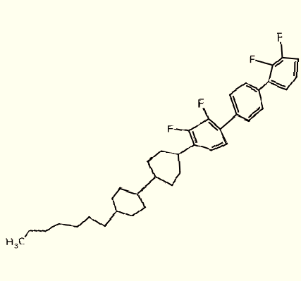 CCCCCCCC1CCC(C2CCC(c3ccc(-c4ccc(-c5cccc(F)c5F)cc4)c(F)c3F)CC2)CC1